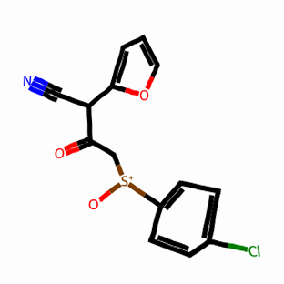 N#CC(C(=O)C[S+]([O-])c1ccc(Cl)cc1)c1ccco1